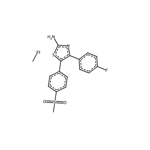 CCC.CS(=O)(=O)c1ccc(-c2sc(N)nc2-c2ccc(F)cc2)cc1